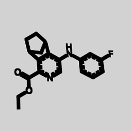 CCOC(=O)c1ncc(Nc2cccc(F)c2)c2c1C1CCC2C1